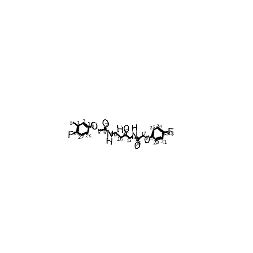 Cc1cc(OCC(=O)NCC[C@H](O)CNC(=O)COc2ccc(F)cc2)ccc1F